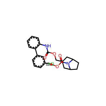 CC(C)(C)OC(=O)N1C2CCC1CC(COC(=O)Nc1ccccc1-c1cccc(Cl)c1)C2